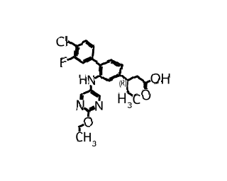 CCOc1ncc(Nc2cc([C@H](CC)CC(=O)O)ccc2-c2ccc(Cl)c(F)c2)cn1